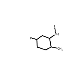 CC1CCC(F)CC1NI